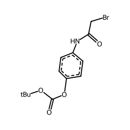 CC(C)(C)OC(=O)Oc1ccc(NC(=O)CBr)cc1